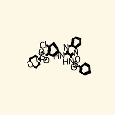 O=S(=O)(Nc1nc2ccccc2nc1Nc1ccc(Cl)c(S(=O)(=O)N2CCOCC2)c1)c1ccccc1